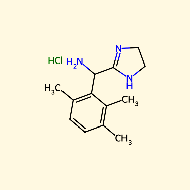 Cc1ccc(C)c(C(N)C2=NCCN2)c1C.Cl